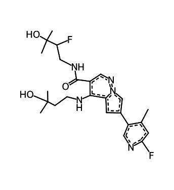 Cc1cc(F)ncc1-c1cc2c(NCCC(C)(C)O)c(C(=O)NCC(F)C(C)(C)O)cnn2c1